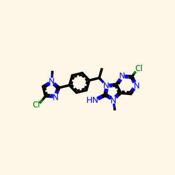 CC(c1ccc(-c2nc(Cl)cn2C)cc1)n1c(=N)n(C)c2cnc(Cl)nc21